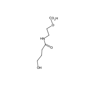 O=C(CCCO)NCCOC(=O)O